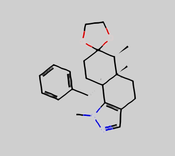 C[C@H]1[C@@H]2CCc3cnn(C)c3[C@@]2(Cc2ccccc2)CCC12OCCO2